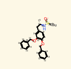 C[C@@H](Cc1ccc(OCc2ccccc2)c(OCc2ccccc2)c1)N[S+]([O-])C(C)(C)C